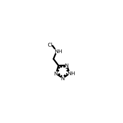 ClNCc1nn[nH]n1